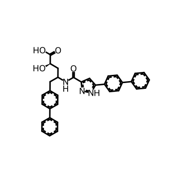 O=C(NC(Cc1ccc(-c2ccccc2)cc1)C[C@@H](O)C(=O)O)c1cc(-c2ccc(-c3ccccc3)cc2)[nH]n1